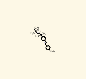 CNc1ccc(/C=C/c2ccc(C(C)(C)/C=C/C(C)(C)COC(C)=O)cc2)cc1